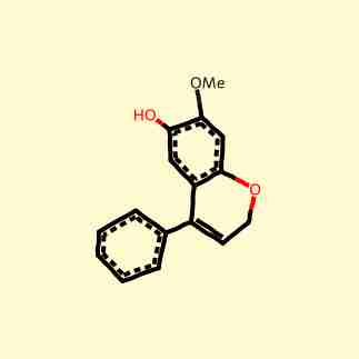 COc1cc2c(cc1O)C(c1ccccc1)=CCO2